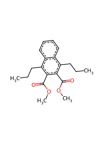 CCCc1c(C(=O)OC)c(C(=O)OC)c(CCC)c2ccccc12